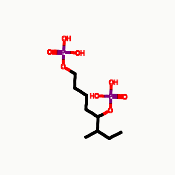 CCC(C)C(CCCCOP(=O)(O)O)OP(=O)(O)O